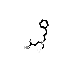 CCN(CC=Cc1ccccc1)CCC(=O)O